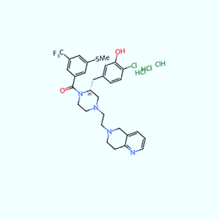 CSc1cc(C(=O)N2CCN(CCN3CCc4ncccc4C3)C[C@H]2Cc2ccc(Cl)c(O)c2)cc(C(F)(F)F)c1.Cl.Cl.Cl